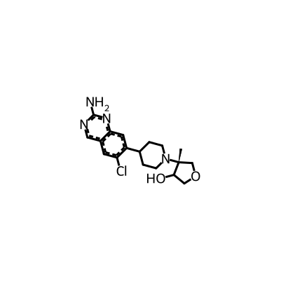 C[C@@]1(N2CCC(c3cc4nc(N)ncc4cc3Cl)CC2)COCC1O